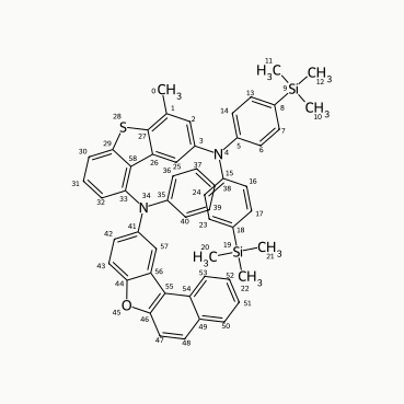 Cc1cc(N(c2ccc([Si](C)(C)C)cc2)c2ccc([Si](C)(C)C)cc2)cc2c1sc1cccc(N(c3ccccc3)c3ccc4oc5ccc6ccccc6c5c4c3)c12